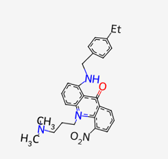 CCc1ccc(CNc2cccc3c2c(=O)c2cccc([N+](=O)[O-])c2n3CCCN(C)C)cc1